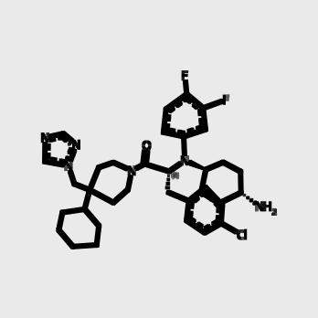 N[C@H]1CC[C@H](N(c2ccc(F)c(F)c2)[C@H](Cc2ccc(Cl)cc2)C(=O)N2CCC(Cn3cncn3)(C3CCCCC3)CC2)CC1